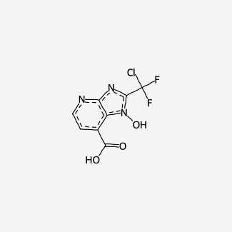 O=C(O)c1ccnc2nc(C(F)(F)Cl)n(O)c12